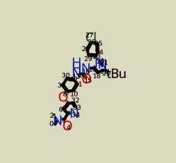 CN(C)C(=O)c1cc(Oc2ccc(NC(=O)Nc3cc(C(C)(C)C)nn3-c3ccc(Cl)cc3)cc2)ccn1